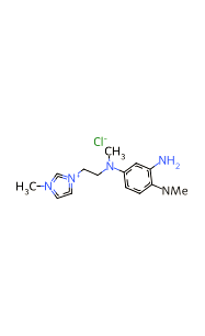 CNc1ccc(N(C)CC[n+]2ccn(C)c2)cc1N.[Cl-]